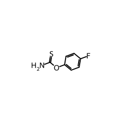 NC(=S)Oc1ccc(F)cc1